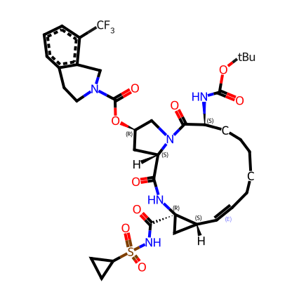 CC(C)(C)OC(=O)N[C@H]1CCCCC/C=C/[C@@H]2C[C@@]2(C(=O)NS(=O)(=O)C2CC2)NC(=O)[C@@H]2C[C@@H](OC(=O)N3CCc4cccc(C(F)(F)F)c4C3)CN2C1=O